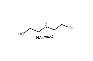 O=[AsH].OCCNCCO